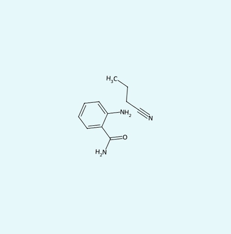 CCCC#N.NC(=O)c1ccccc1N